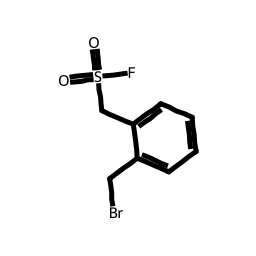 O=S(=O)(F)Cc1ccccc1CBr